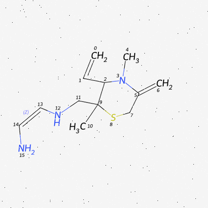 C=CC1N(C)C(=C)CSC1(C)CN/C=C\N